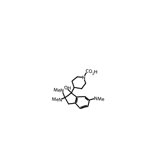 CNc1ccc2c(c1)C(O)(C1CCN(C(=O)O)CC1)C(NC)(NC)C2